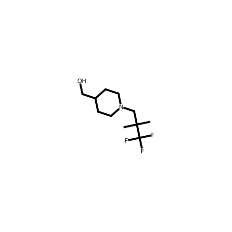 CC(C)(CN1CCC(CO)CC1)C(F)(F)F